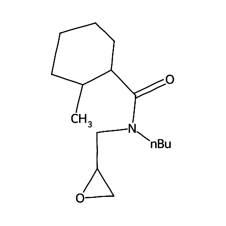 CCCCN(CC1CO1)C(=O)C1CCCCC1C